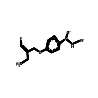 CC(C)N[S+]([O-])c1ccc(OC/C(=C\F)CN)cc1